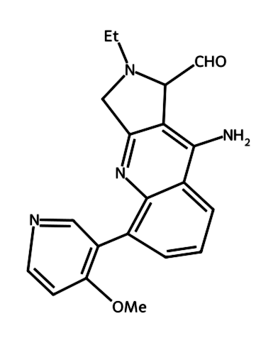 CCN1Cc2nc3c(-c4cnccc4OC)cccc3c(N)c2C1C=O